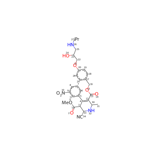 COC(=O)C1C(c2cccc([N+](=O)[O-])c2)=C(C(=O)OCc2ccc(OCC(O)CNC(C)C)cc2)C(C)NC1C#N